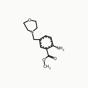 COC(=O)c1cc(CN2CCOCC2)ccc1N